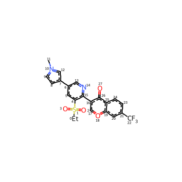 CCS(=O)(=O)c1cc(-c2ccn(C)c2)cnc1-c1coc2cc(C(F)(F)F)ccc2c1=O